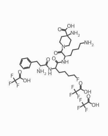 NCCCC[C@@H](NC(=O)C(CCCCF)NC(=O)[C@H](N)Cc1ccccc1)C(=O)N1CCC(N)(C(=O)O)CC1.O=C(O)C(F)(F)F.O=C(O)C(F)(F)F.O=C(O)C(F)(F)F